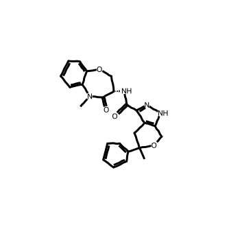 CN1C(=O)[C@@H](NC(=O)c2n[nH]c3c2CC(C)(c2ccccc2)OC3)COc2ccccc21